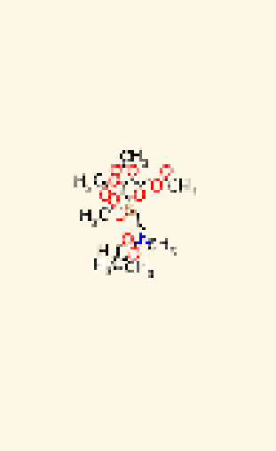 CC(=O)OC[C@H]1O[C@H](SCCCN(C)C(=O)OC(C)(C)C)[C@@H](OC(C)=O)[C@@H](OC(C)=O)[C@@H]1OC(C)=O